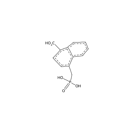 O=C(O)c1ccc(CP(=O)(O)O)c2ccccc12